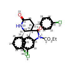 CCOC(=O)N1C(=O)[C@]2(c3ccc(Cl)cc31)[C@@H](c1ccc(Cl)cc1)CC(=O)N[C@H]2c1cccc(Cl)c1